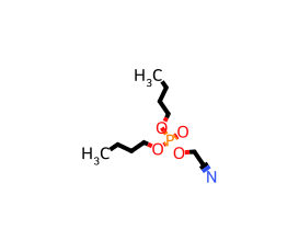 CCCCOP(=O)(OCC#N)OCCCC